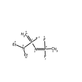 C=P(F)(N=P(C)(F)F)N(CC)CC